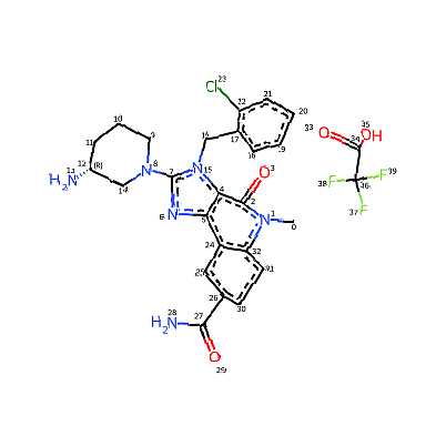 Cn1c(=O)c2c(nc(N3CCC[C@@H](N)C3)n2Cc2ccccc2Cl)c2cc(C(N)=O)ccc21.O=C(O)C(F)(F)F